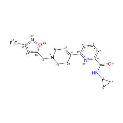 O=C(NC1CC1)c1cccc(C2=CCN(Cc3cc(C(F)(F)F)no3)CC2)n1